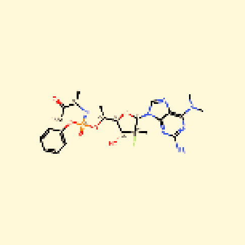 COC(=O)[C@@H](C)N[P@@](=O)(Oc1ccccc1)O[C@@H](C)[C@H]1O[C@@H](n2cnc3c(N(C)C)nc(N)nc32)[C@](C)(F)[C@@H]1O